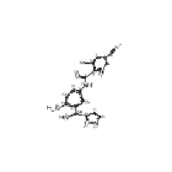 Cc1cc(C#N)cnc1C(=O)Nc1ccc(N)c(C(=N)c2ccno2)c1